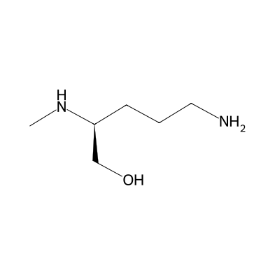 CN[C@H](CO)CCCN